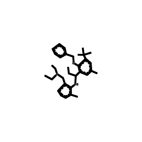 CCC(Pc1c(C)cccc1CN(CC)CC)c1cc(C)cc(C(C)(C)C)c1OCc1ccccc1